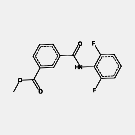 COC(=O)c1cccc(C(=O)Nc2c(F)cccc2F)c1